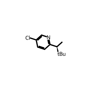 C[C@H](c1ccc(Cl)cn1)C(C)(C)C